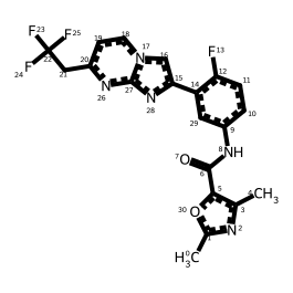 Cc1nc(C)c(C(=O)Nc2ccc(F)c(-c3cn4ccc(CC(F)(F)F)nc4n3)c2)o1